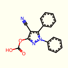 N#Cc1c(OC(=O)O)nn(-c2ccccc2)c1-c1ccccc1